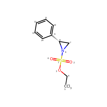 O=S(=O)(OCC(Cl)(Cl)Cl)N1C[C@H]1c1ccccc1